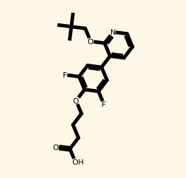 CC(C)(C)COc1ncccc1-c1cc(F)c(OCCCC(=O)O)c(F)c1